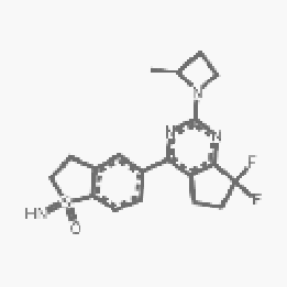 C[C@H]1CCN1c1nc(-c2ccc3c(c2)CCS3(=N)=O)c2c(n1)C(F)(F)CC2